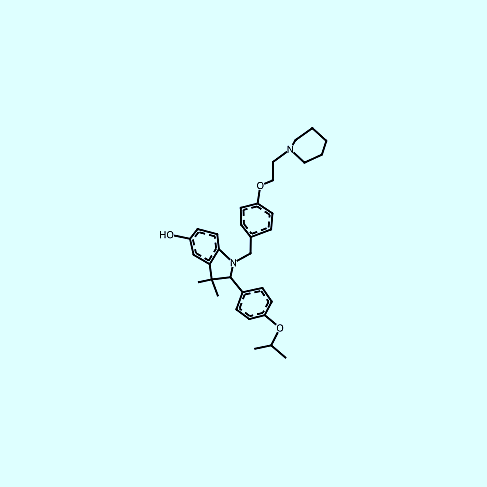 CC(C)Oc1ccc(C2N(Cc3ccc(OCCN4CCCCC4)cc3)c3ccc(O)cc3C2(C)C)cc1